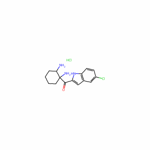 Cl.NC1CCCCC1(N)C(=O)c1cc2cc(Cl)ccc2[nH]1